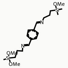 CO[Si](C)(C)CCC/N=C/c1ccc(/C=N/CCC[Si](C)(OC)OC)cc1